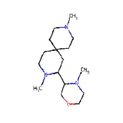 CN1CCC2(CC1)CCN(C)C(C1COCCN1C)C2